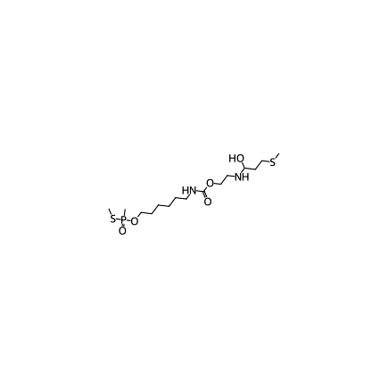 CSCCC(O)NCCOC(=O)NCCCCCCOP(C)(=O)SC